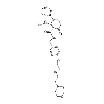 CCN1C2=C(C(=O)NCc3ccc(OCCNCCN4CCOCC4)cc3)C(=O)CCN2c2ccccc21